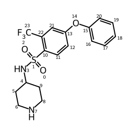 O=S(=O)(NC1CCNCC1)c1ccc(Oc2ccccc2)cc1C(F)(F)F